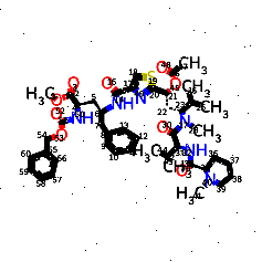 COC(=O)[C@@H](C[C@H](Cc1ccccc1)NC(=O)c1csc([C@@H](C[C@H](C(C)C)N(C)C(=O)[C@@H](NC(=O)[C@H]2CCCCN2C)C(C)C)OC(C)=O)n1)NC(=O)OCc1ccccc1